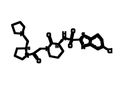 O=C1[C@@H](NS(=O)(=O)c2nc3cc(Cl)ccc3s2)CCCN1CC(=O)N1CCC[C@H]1CN1CCCC1